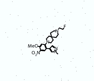 COc1cc(N2CCC3(CCN(CCF)CC3)CC2)c(-c2cnn(C)c2)cc1[N+](=O)[O-]